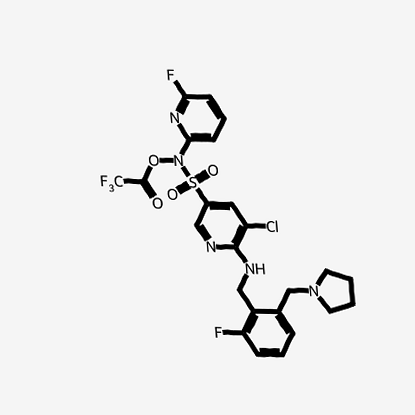 O=C(ON(c1cccc(F)n1)S(=O)(=O)c1cnc(NCc2c(F)cccc2CN2CCCC2)c(Cl)c1)C(F)(F)F